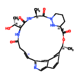 C[C@@H]1NC(=O)[C@H]([C@@H](C)O)NC(=O)C/C=C/c2cc3cc(ccc3cn2)[C@@H](C)OC(=O)[C@@H]2CCCN(N2)C1=O